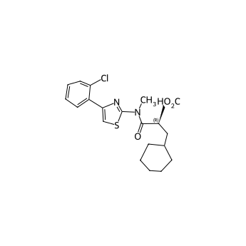 CN(C(=O)[C@@H](CC(=O)O)CC1CCCCC1)c1nc(-c2ccccc2Cl)cs1